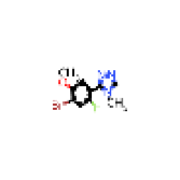 COc1cc(-c2nncn2C)c(F)cc1Br